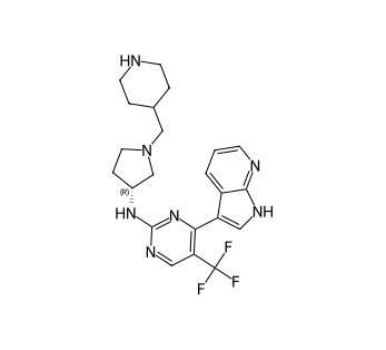 FC(F)(F)c1cnc(N[C@@H]2CCN(CC3CCNCC3)C2)nc1-c1c[nH]c2ncccc12